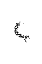 Cc1cnc(N2CCC(Oc3nc4ccc(C5=CCN(S(=O)(=O)CCC(C)(C)O)CC5)cc4s3)CC2)nc1